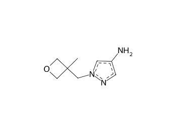 CC1(Cn2cc(N)cn2)COC1